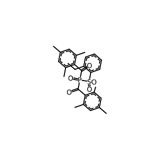 CCc1ccccc1S(=O)(=O)P(=O)(C(=O)c1c(C)cc(C)cc1C)C(=O)c1c(C)cc(C)cc1C